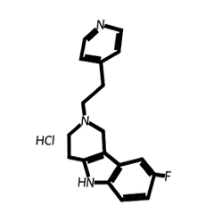 Cl.Fc1ccc2[nH]c3c(c2c1)CN(CCc1ccncc1)CC3